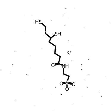 O=C(CCCCC(S)CCS)NCCS(=O)(=O)[O-].[K+]